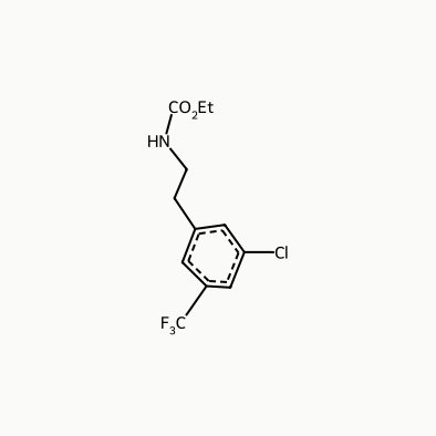 CCOC(=O)NCCc1cc(Cl)cc(C(F)(F)F)c1